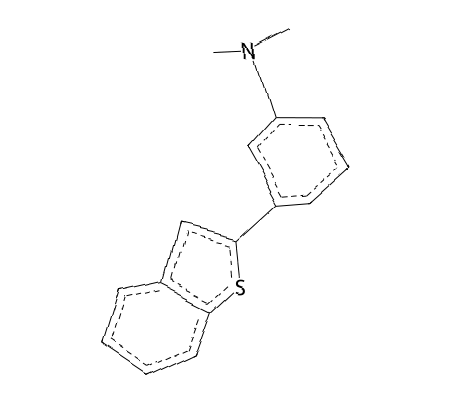 CN(C)c1cccc(-c2cc3ccccc3s2)c1